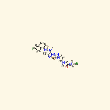 CCc1nc2n(c1N(C)c1nc(-c3ccc(F)cc3)c(C#N)s1)NC(N1CCC(N(C)CC(=O)N3CC(F)C3)C1)S2